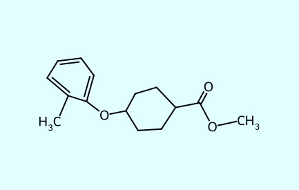 COC(=O)C1CCC(Oc2ccccc2C)CC1